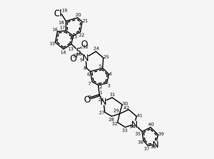 O=C(c1ccc2c(c1)CN(S(=O)(=O)c1cccc3c(Cl)cccc13)CC2)N1CCC2(CC1)CCN(c1ccncc1)CC2